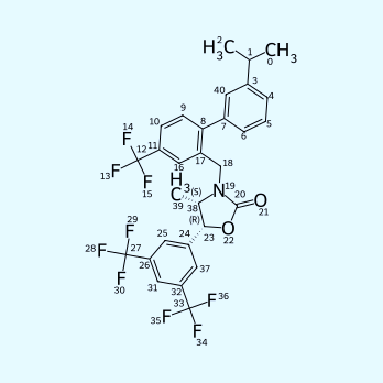 CC(C)c1cccc(-c2ccc(C(F)(F)F)cc2CN2C(=O)O[C@H](c3cc(C(F)(F)F)cc(C(F)(F)F)c3)[C@@H]2C)c1